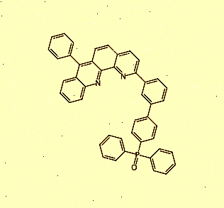 O=P(c1ccccc1)(c1ccccc1)c1ccc(-c2cccc(-c3ccc4ccc5c(-c6ccccc6)c6ccccc6nc5c4n3)c2)cc1